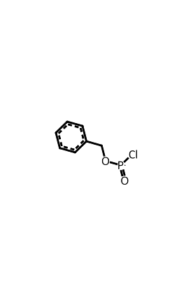 O=[P](Cl)OCc1ccccc1